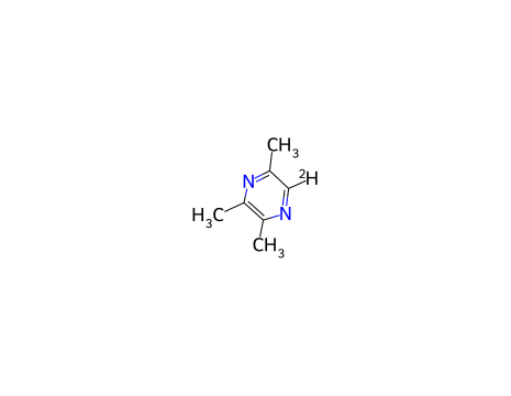 [2H]c1nc(C)c(C)nc1C